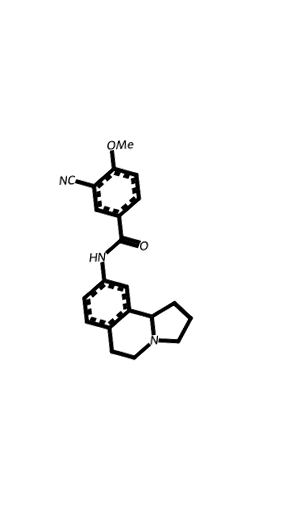 COc1ccc(C(=O)Nc2ccc3c(c2)C2CCCN2CC3)cc1C#N